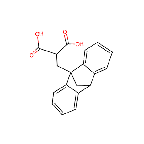 O=C(O)C(CC12CC(c3ccccc31)c1ccccc12)C(=O)O